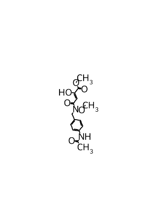 COC(=O)C(O)=CC(=O)N(Cc1ccc(NC(C)=O)cc1)OC